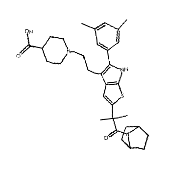 Cc1cc(C)cc(-c2[nH]c3sc(C(C)(C)C(=O)N4C5CCC4CC5)cc3c2CCN2CCC(C(=O)O)CC2)c1